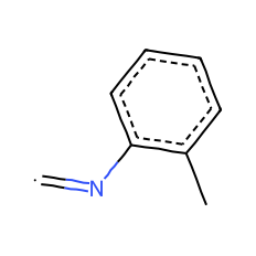 [CH]=Nc1ccccc1C